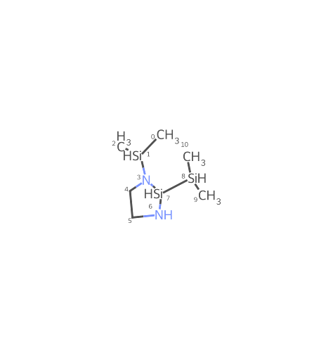 C[SiH](C)N1CCN[SiH]1[SiH](C)C